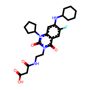 O=C(O)CC(=O)NCCn1c(=O)c2cc(F)c(NC3CCCCC3)cc2n(C2CCCC2)c1=O